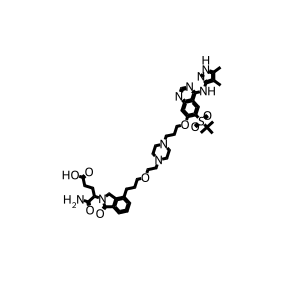 Cc1[nH]nc(Nc2ncnc3cc(OCCCN4CCN(CCOCCCc5cccc6c5CN(C(CCC(=O)O)C(N)=O)C6=O)CC4)c(S(=O)(=O)C(C)(C)C)cc23)c1C